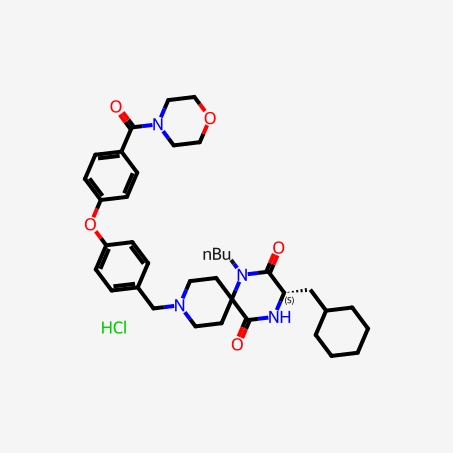 CCCCN1C(=O)[C@H](CC2CCCCC2)NC(=O)C12CCN(Cc1ccc(Oc3ccc(C(=O)N4CCOCC4)cc3)cc1)CC2.Cl